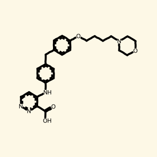 O=C(O)c1nnccc1Nc1ccc(Cc2ccc(OCCCCN3CCOCC3)cc2)cc1